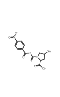 O=C(OC(=O)N1CC(O)C[C@H]1C(=O)O)c1ccc([N+](=O)[O-])cc1